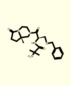 CC(C)(N)C(=O)N[C@H](COCc1ccccc1)C(=O)N1CCN2C(=O)CC[C@@]2(C)C1